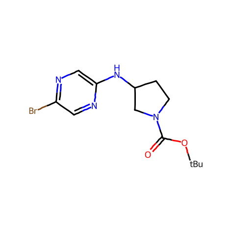 CC(C)(C)OC(=O)N1CCC(Nc2cnc(Br)cn2)C1